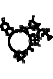 CC(C)(C)[C@@H]1NC(=O)O[C@@H]2C[C@@H]3C[C@@H]3[C@H]2CCCCCc2nc3ccc(Cl)cc3nc2O[C@@H]2C[C@@H](C(=O)N[C@]3(C(=O)NS(=O)(=O)C4CC4)CC3C(F)F)N(C2)C1=O